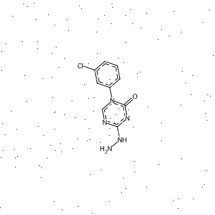 NNc1ncn(-c2cccc(Cl)c2)c(=O)n1